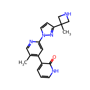 Cc1cnc(-n2ccc(C3(C)CNC3)n2)cc1-c1ccc[nH]c1=O